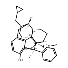 CO[C@@]12CC[C@]3(CC1[C@](C)(O)c1ccccc1)[C@@H]1Cc4ccc(O)c5c4[C@]3(CCN1CC1CC1)[C@@H]2O5